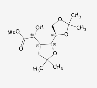 COC(=O)[C@H](O)[C@H]1CC(C)(C)O[C@H]1[C@H]1COC(C)(C)O1